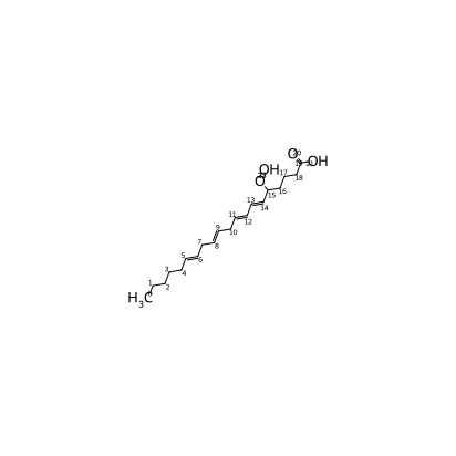 CCCCCC=CCC=CCC=CC=CC(CCCC(=O)O)OO